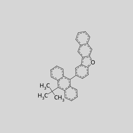 CC(C)(C)c1c2ccccc2c(-c2ccc3oc4cc5ccccc5cc4c3c2)c2ccccc12